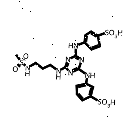 CS(=O)(=O)NCCCNc1nc(Nc2ccc(S(=O)(=O)O)cc2)nc(Nc2cccc(S(=O)(=O)O)c2)n1